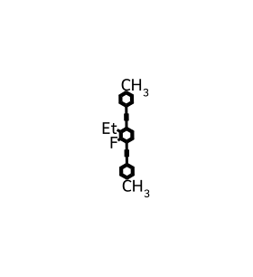 CCc1c(C#Cc2ccc(C)cc2)ccc(C#Cc2ccc(C)cc2)c1F